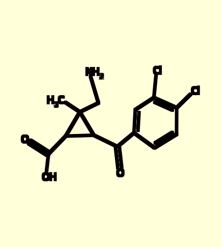 CC1(CN)C(C(=O)O)C1C(=O)c1ccc(Cl)c(Cl)c1